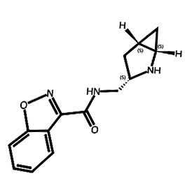 O=C(NC[C@@H]1C[C@@H]2C[C@@H]2N1)c1noc2ccccc12